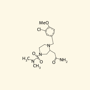 COc1ccc(CN2CCN(S(=O)(=O)N(C)C)CC2CC(N)=O)cc1Cl